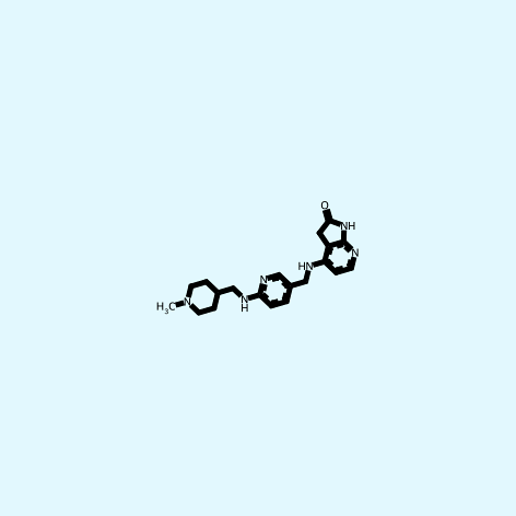 CN1CCC(CNc2ccc(CNc3ccnc4c3CC(=O)N4)cn2)CC1